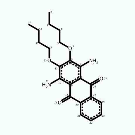 CCCCOc1c(N)c2c(c(N)c1OCCCC)C(=O)c1ccccc1C2=O